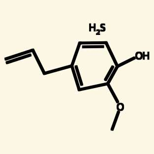 C=CCc1ccc(O)c(OC)c1.S